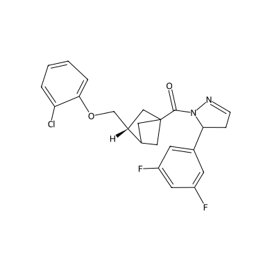 O=C(N1N=CCC1c1cc(F)cc(F)c1)C12CC(C1)[C@H](COc1ccccc1Cl)C2